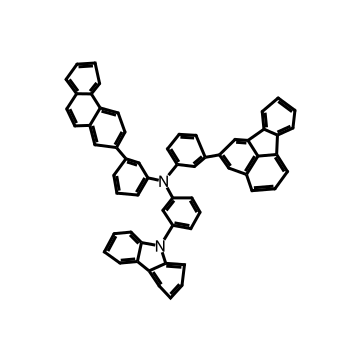 c1cc(-c2cc3c4c(cccc4c2)-c2ccccc2-3)cc(N(c2cccc(-c3ccc4c(ccc5ccccc54)c3)c2)c2cccc(-n3c4ccccc4c4ccccc43)c2)c1